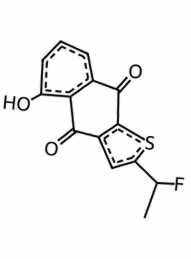 CC(F)c1cc2c(s1)C(=O)c1cccc(O)c1C2=O